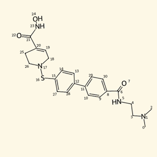 CN(C)CCNC(=O)c1ccc(-c2ccc(SN3CC=C(C(=O)NO)CC3)cc2)cc1